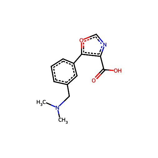 CN(C)Cc1cccc(-c2ocnc2C(=O)O)c1